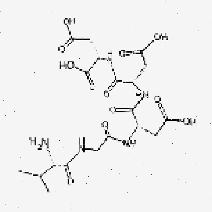 CC(C)[C@H](N)C(=O)NCC(=O)N[C@@H](CC(=O)O)C(=O)N[C@@H](CC(=O)O)C(=O)N[C@@H](CC(=O)O)C(=O)O